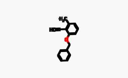 C#Cc1c([CH2])cccc1OCc1ccccc1